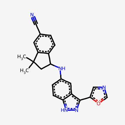 CC1(C)CC(Nc2ccc3[nH]nc(-c4cnco4)c3c2)c2ccc(C#N)cc21